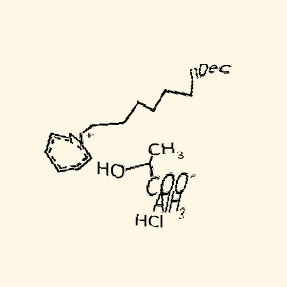 CC(O)C(=O)[O-].CCCCCCCCCCCCCCCC[n+]1ccccc1.Cl.[AlH3]